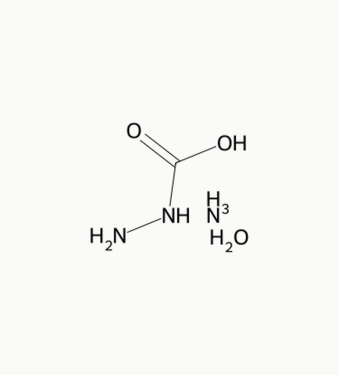 N.NNC(=O)O.O